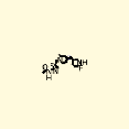 CC(=O)Nc1ncc(CN2CC/C(=C\C3CCC(F)NC3)CC2C)s1